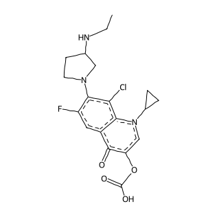 CCNC1CCN(c2c(F)cc3c(=O)c(OC(=O)O)cn(C4CC4)c3c2Cl)C1